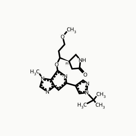 COCCC(Oc1nc(-c2cnn(C(C)(C)C)c2)cc2ncn(C)c12)[C@H]1CNC(=O)C1